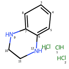 Cl.Cl.Cl.c1ccc2c(c1)NCCN2